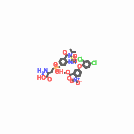 CC(C)N1C(=O)c2ccccc2NS1(=O)=O.COC(=O)c1cc(Oc2ccc(Cl)cc2Cl)ccc1[N+](=O)[O-].CP(=O)(O)CCC(N)C(=O)O